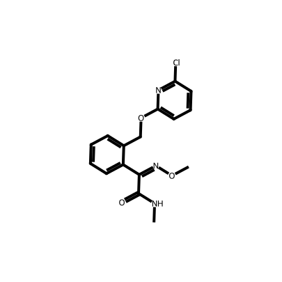 CNC(=O)C(=NOC)c1ccccc1COc1cccc(Cl)n1